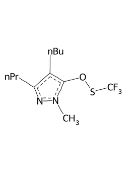 CCCCc1c(CCC)nn(C)c1OSC(F)(F)F